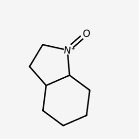 O=[N+]1CCC2CCCCC21